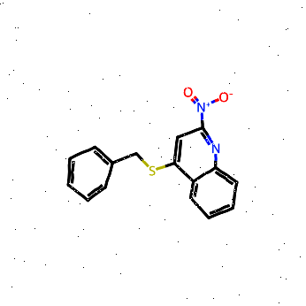 O=[N+]([O-])c1cc(SCc2ccccc2)c2ccccc2n1